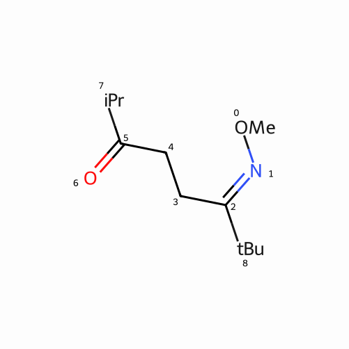 CO/N=C(\CCC(=O)C(C)C)C(C)(C)C